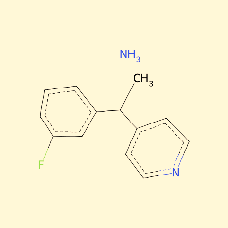 CC(c1ccncc1)c1cccc(F)c1.N